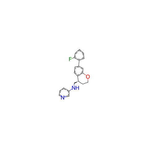 Fc1ccccc1-c1ccc2c(c1)OCC[C@H]2CNc1cccnc1